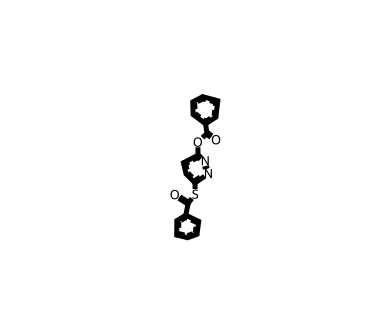 O=C(Oc1ccc(SC(=O)c2ccccc2)nn1)c1ccccc1